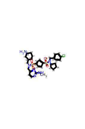 CNc1nccc(CN(CC2CCCC(N)C2)S(=O)(=O)c2ccc(S(=O)(=O)N(Cc3ccc(Cl)cc3)C3CCCC3)cc2)n1